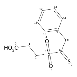 O=C(O)CCS(=O)(=O)C(=S)Cc1ccccc1